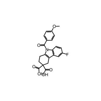 COc1ccc(C(=O)n2c3c(c4cc(F)ccc42)CC(C(=O)O)(C(=O)O)CC3)cc1